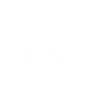 C=C(O)C1=C(/N=C\N)CCN(c2ncccc2C(F)(F)F)CC1